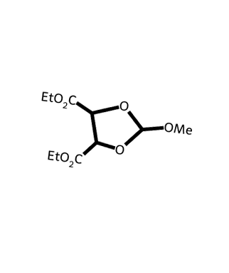 CCOC(=O)C1OC(OC)OC1C(=O)OCC